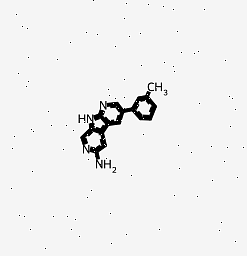 Cc1cccc(-c2cnc3[nH]c4cnc(N)cc4c3c2)c1